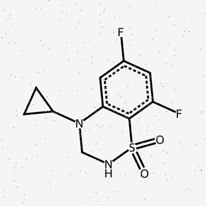 O=S1(=O)NCN(C2CC2)c2cc(F)cc(F)c21